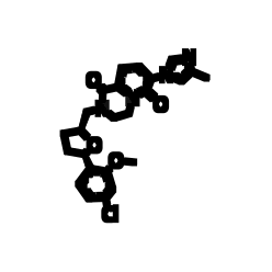 COc1cc(Cl)ccc1[C@H]1CC[C@@H](CN2CCn3c(ccc(-n4cnc(C)c4)c3=O)C2=O)O1